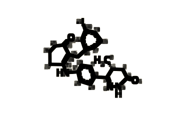 C[C@@H]1CC(=O)NN=C1c1ccc(NC2=C(Cc3cccc(I)c3)C(=O)CCC2)cc1